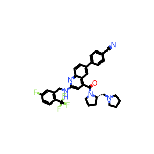 N#Cc1ccc(-c2ccc3nc(NCc4cc(F)ccc4C(F)(F)F)cc(C(=O)N4CCC[C@H]4CN4CCCC4)c3c2)cc1